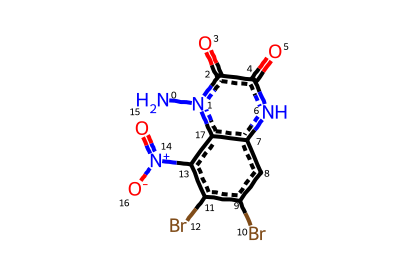 Nn1c(=O)c(=O)[nH]c2cc(Br)c(Br)c([N+](=O)[O-])c21